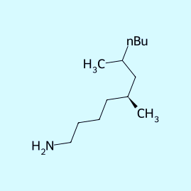 CCCCC(C)C[C@@H](C)CCCCN